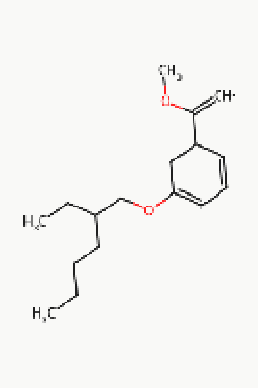 [CH]=C(OC)C1C=C[C]=C(OCC(CC)CCCC)C1